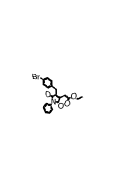 CCOC(=O)CC1=C(Cc2ccc(Br)cc2)C(=O)N(c2ccccc2)C1=O